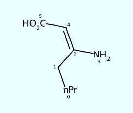 CCCC/C(N)=C\C(=O)O